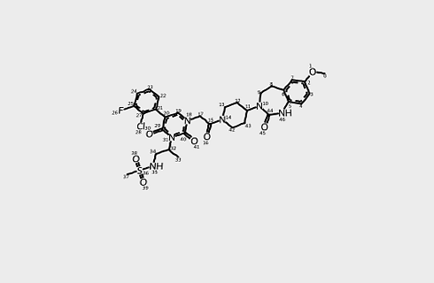 COc1ccc2c(c1)CCN(C1CCN(C(=O)Cn3cc(-c4cccc(F)c4Cl)c(=O)n(C(C)CNS(C)(=O)=O)c3=O)CC1)C(=O)N2